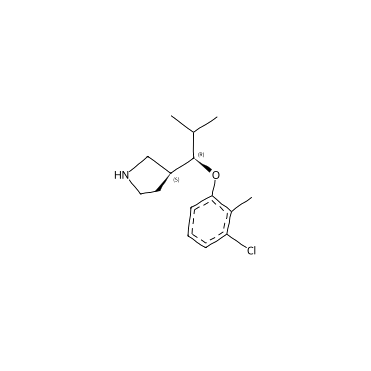 Cc1c(Cl)cccc1O[C@H](C(C)C)[C@H]1CCNC1